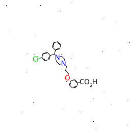 O=C(O)c1cccc(OCCCN2CCN(C(c3ccccc3)c3ccc(Cl)cc3)CC2)c1